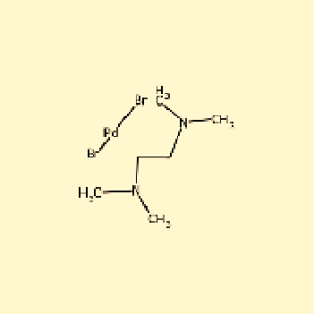 CN(C)CCN(C)C.[Br][Pd][Br]